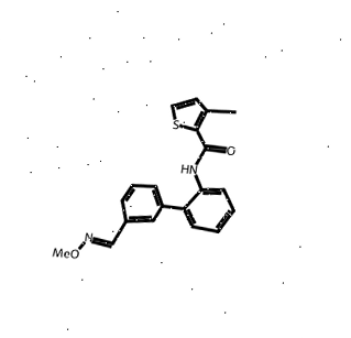 CO/N=C/c1cccc(-c2ccccc2NC(=O)c2sccc2C)c1